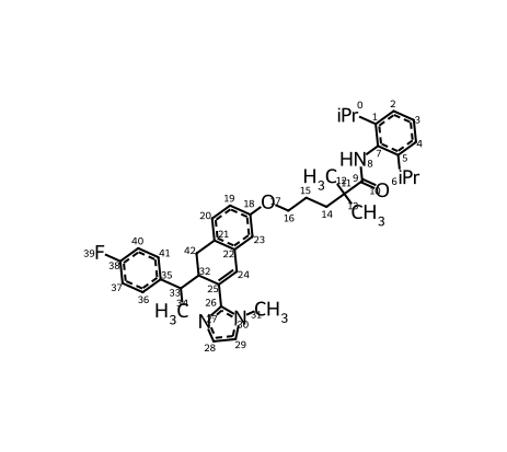 CC(C)c1cccc(C(C)C)c1NC(=O)C(C)(C)CCCOc1ccc2c(c1)C=C(c1nccn1C)C(C(C)c1ccc(F)cc1)C2